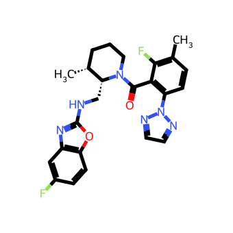 Cc1ccc(-n2nccn2)c(C(=O)N2CCC[C@@H](C)[C@H]2CNc2nc3cc(F)ccc3o2)c1F